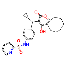 O=c1oc2c(c(O)c1C(c1ccc(NS(=O)(=O)c3ccccn3)cc1)C1CC1)CCCCCC2